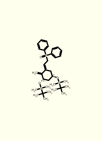 C=C1C(=CCP(=O)(c2ccccc2)c2ccccc2)C[C@@H](O[Si](C)(C)C(C)(C)C)C[C@@H]1O[Si](C)(C)C(C)(C)C